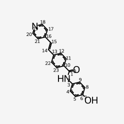 O=C(Nc1ccc(O)cc1)c1ccc(/C=C/c2ccncc2)cc1